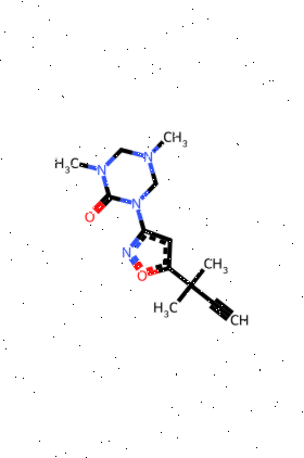 C#CC(C)(C)c1cc(N2CN(C)CN(C)C2=O)no1